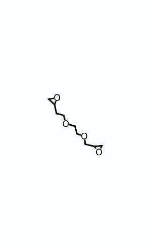 C(COCC1CO1)OCCC1CO1